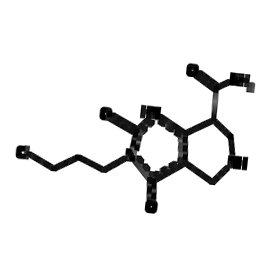 NC(=O)C1CNCc2c1[nH]c(=O)n(CCCCl)c2=O